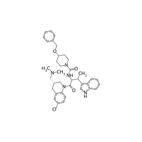 CC(c1c[nH]c2ccccc12)C(NC(=O)N1CCC(OCc2ccccc2)CC1)C(=O)N1C[C@@H](CN(C)C)Cc2cc(Cl)ccc21